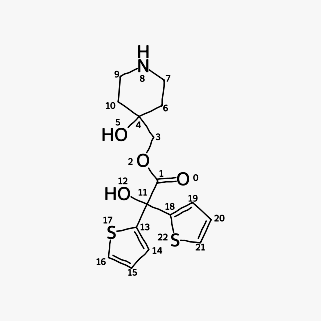 O=C(OCC1(O)CCNCC1)C(O)(c1cccs1)c1cccs1